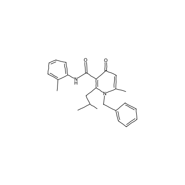 Cc1ccccc1NC(=O)c1c(CC(C)C)n(Cc2ccccc2)c(C)cc1=O